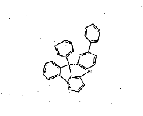 Brc1cccc2c1C(c1ccccc1)(c1cccc(-c3ccccc3)c1)c1ccccc1-2